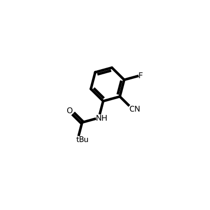 CC(C)(C)C(=O)Nc1cccc(F)c1C#N